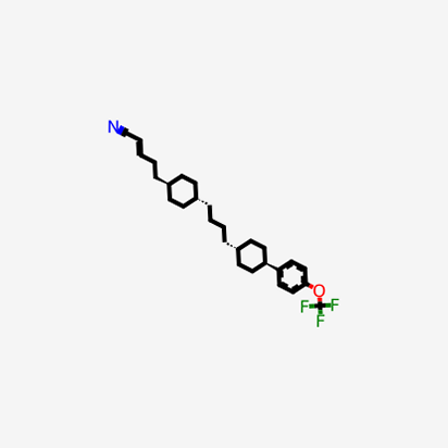 N#C/C=C/CC[C@H]1CC[C@H](CCCC[C@H]2CC[C@H](c3ccc(OC(F)(F)F)cc3)CC2)CC1